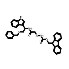 O=C(CONC(=O)OCC1c2ccccc2-c2ccccc21)NC(COCc1ccccc1)c1c[nH]c2ccccc12